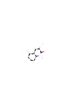 CCCCCCCCOc1c(O)c2c([N+](=O)[O-])cccc2n(C)c1=O